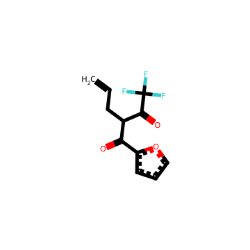 C=CCC(C(=O)c1ccco1)C(=O)C(F)(F)F